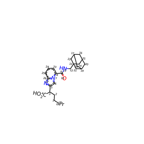 CC(C)CCC(C(=O)O)c1cn2c(C(=O)NCC34CC5CC(CC(C5)C3)C4)cccc2n1